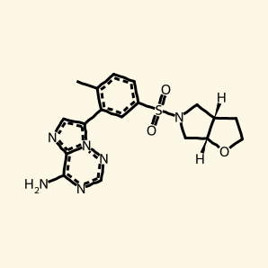 Cc1ccc(S(=O)(=O)N2C[C@@H]3CCO[C@@H]3C2)cc1-c1cnc2c(N)ncnn12